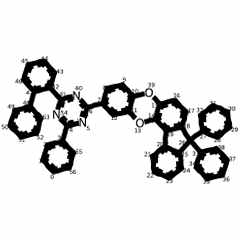 c1ccc(-c2nc(-c3ccc4c(c3)Oc3c(ccc5c3-c3ccccc3C5(c3ccccc3)c3ccccc3)O4)nc(-c3ccccc3-c3ccccc3)n2)cc1